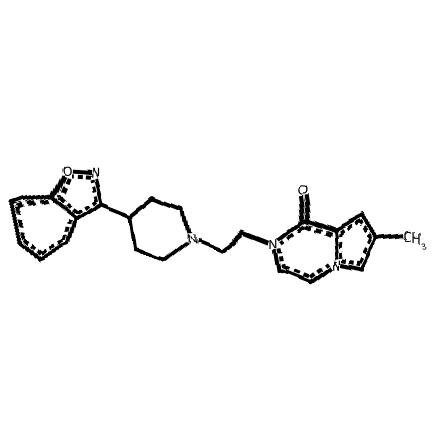 Cc1cc2c(=O)n(CCN3CCC(c4noc5ccccc45)CC3)ccn2c1